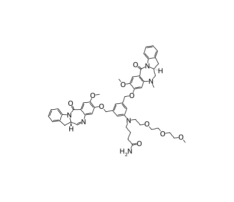 COCCOCCOCCN(CCCC(N)=O)c1cc(COc2cc3c(cc2OC)C(=O)N2c4ccccc4C[C@H]2C=N3)cc(COc2cc3c(cc2OC)C(=O)N2c4ccccc4C[C@H]2CN3C)c1